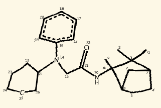 CC1(C)C2CCC(C2)C1(C)NC(=O)CN(c1ccccc1)C1CCCCC1